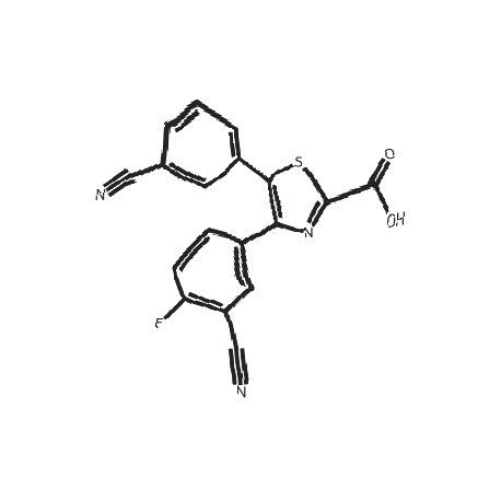 N#Cc1cccc(-c2sc(C(=O)O)nc2-c2ccc(F)c(C#N)c2)c1